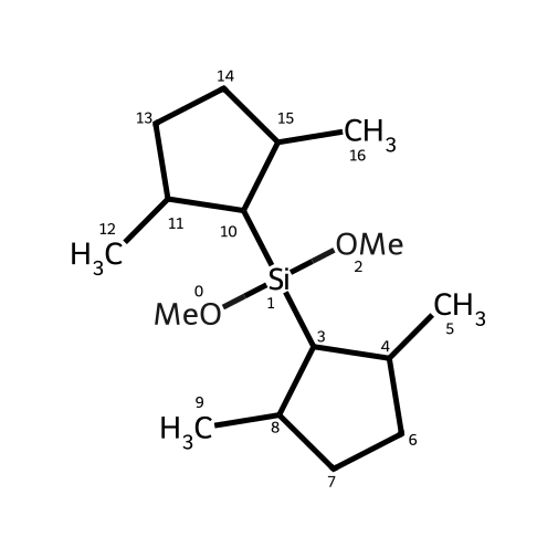 CO[Si](OC)(C1C(C)CCC1C)C1C(C)CCC1C